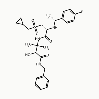 CC(C)(NC(=O)[C@H](CS(=O)(=O)CC1CC1)N[C@@H](c1ccc(F)cc1)C(F)(F)F)C(O)C(=O)NCc1ccccc1